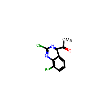 COC(=O)c1nc(Cl)nc2c(Br)cccc12